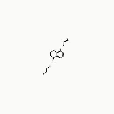 OCCCCON=C1CCCc2c(OCC=C(Cl)Cl)cccc21